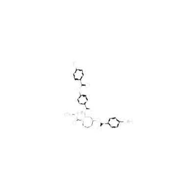 CC(C)(C)OC(=O)N1CCCC(OC(=O)c2ccc(O)cc2)CC1NC(=O)c1ccc(OC(=O)c2ccc(F)cc2)cc1